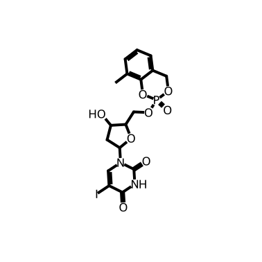 Cc1cccc2c1OP(=O)(OCC1OC(n3cc(I)c(=O)[nH]c3=O)CC1O)OC2